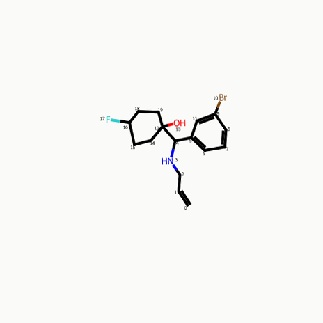 C=CCNC(c1cccc(Br)c1)C1(O)CCC(F)CC1